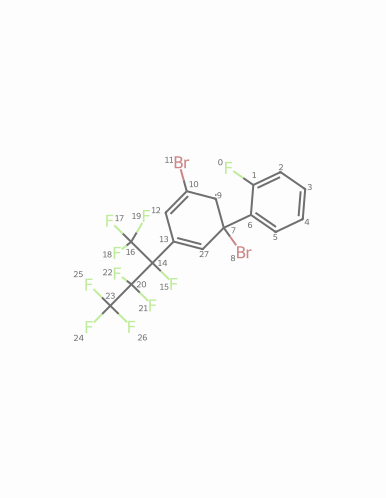 Fc1ccccc1C1(Br)[CH]C(Br)=CC(C(F)(C(F)(F)F)C(F)(F)C(F)(F)F)=C1